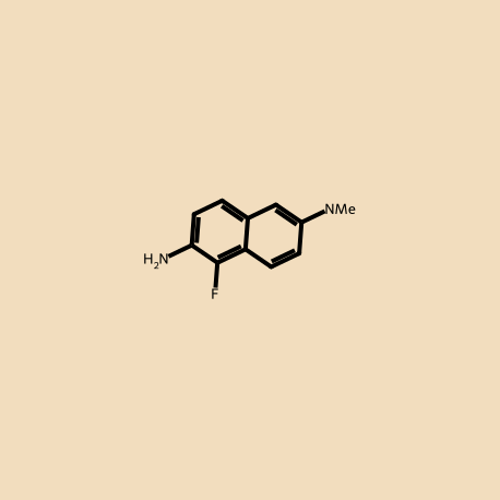 CNc1ccc2c(F)c(N)ccc2c1